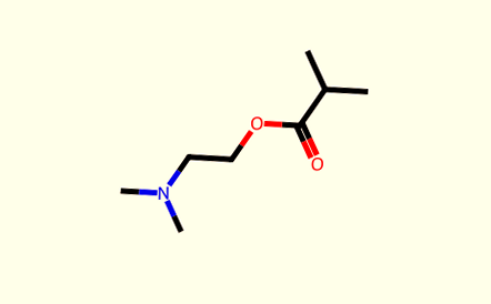 CC(C)C(=O)OCCN(C)C